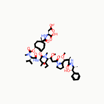 CC[C@H](C)[C@@H](C(CC(=O)N1CCCC1[C@H](OC)[C@@H](C)C(=O)N[C@H](C)[C@@H](O)c1ccccc1)OC)N(C)C(=O)[C@@H](NC(=O)[C@H](C(C)C)N(C)C(=O)O[C@H]1/C=C/CC[C@@](C)(C(=O)N[C@@H](CC(=O)O)C(=O)O)CC1)C(C)C